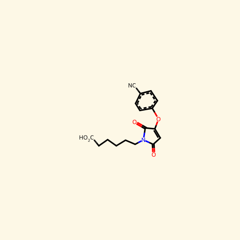 N#Cc1ccc(OC2=CC(=O)N(CCCCCC(=O)O)C2=O)cc1